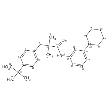 CC(C)(Cc1ccc(C(C)(C)C(=O)O)cc1)C(=O)Nc1cncc(N2CCCCC2)n1